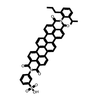 CCCc1cccc(C(C)C)c1N1C(=O)c2ccc3c4ccc5c6ccc7c8c(ccc(c9ccc(c%10ccc(c2c3%10)C1=O)c4c59)c86)C(=O)N(c1cccc(S(=O)(=O)O)c1)C7=O